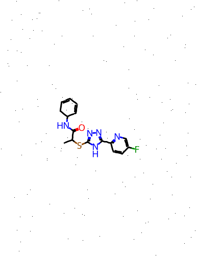 CC(Sc1nnc(-c2ccc(F)cn2)[nH]1)C(=O)NC1C=CC=CC1